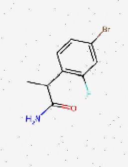 C[C](C(N)=O)c1ccc(Br)cc1F